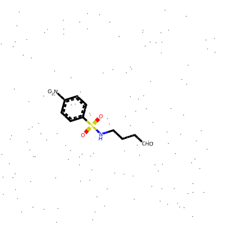 O=CCCCNS(=O)(=O)c1ccc([N+](=O)[O-])cc1